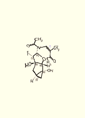 CC(=O)/C(C)=C\N(C(C)=O)[C@@H]1O[C@@H]2[C@@]3(O)C[C@H]3C[C@]2(O)[C@@H]1F